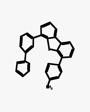 Bc1ccc(-c2cccc3c2sc2c(-c4cccc(-c5ccccc5)c4)cccc23)cc1